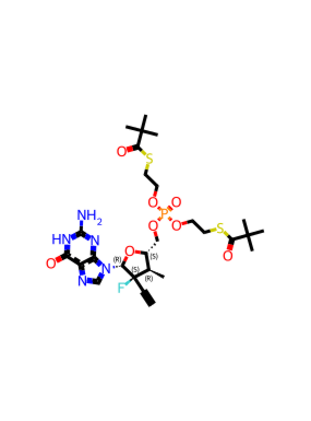 C#C[C@@]1(F)[C@H](C)[C@@H](COP(=O)(OCCSC(=O)C(C)(C)C)OCCSC(=O)C(C)(C)C)O[C@H]1n1cnc2c(=O)[nH]c(N)nc21